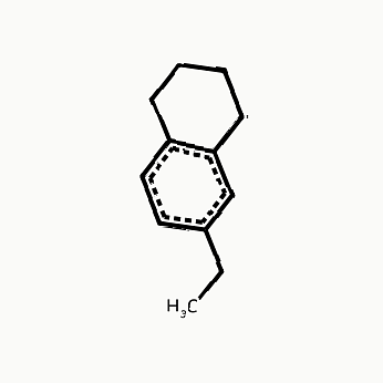 CCc1ccc2c(c1)[CH]CCC2